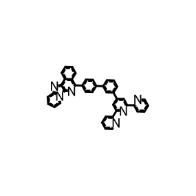 c1ccc(-c2cc(-c3cccc(-c4ccc(-c5nc6c(nc7ccccn76)c6ccccc56)cc4)c3)cc(-c3ccccn3)n2)nc1